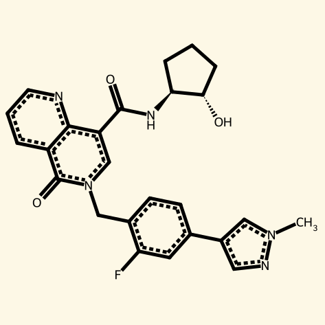 Cn1cc(-c2ccc(Cn3cc(C(=O)N[C@H]4CCC[C@@H]4O)c4ncccc4c3=O)c(F)c2)cn1